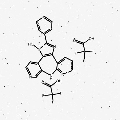 O=C(O)C(F)(F)F.O=C(O)C(F)(F)F.On1c(-c2ccccc2)nc2c1-c1ccncc1Nc1ncccc1-2